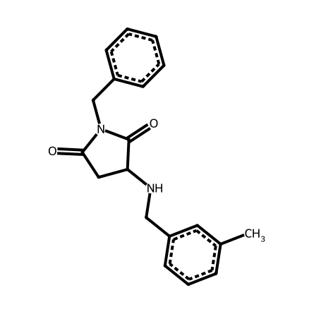 Cc1cccc(CNC2CC(=O)N(Cc3ccccc3)C2=O)c1